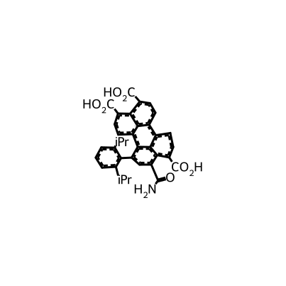 CC(C)c1cccc(C(C)C)c1-c1cc(C(N)=O)c2c(C(=O)O)ccc3c4ccc(C(=O)O)c5c(C(=O)O)ccc(c1c23)c54